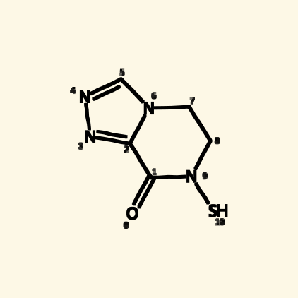 O=C1c2nncn2CCN1S